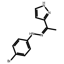 CC(=NNc1ccc(Br)cc1)c1cc[nH]n1